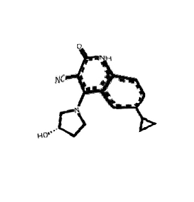 N#Cc1c(N2CC[C@H](O)C2)c2cc(C3CC3)ccc2[nH]c1=O